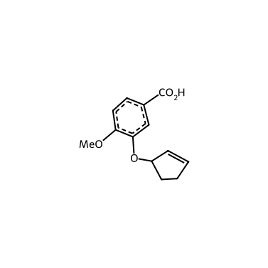 COc1ccc(C(=O)O)cc1OC1C=CCC1